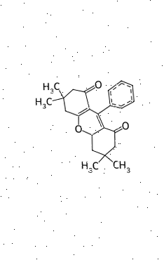 CC1(C)CC(=O)C2=C(C1)OC1CC(C)(C)CC(=O)C1=C2c1ccccc1